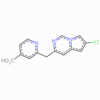 O=C(O)c1ccnc(Cc2cc3cc(Cl)cn3cn2)c1